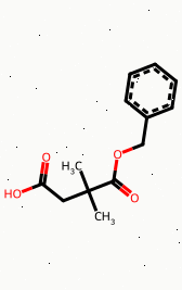 CC(C)(CC(=O)O)C(=O)OCc1ccccc1